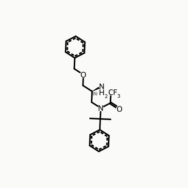 CC(C)(c1ccccc1)N(C[C@H](N)COCc1ccccc1)C(=O)C(F)(F)F